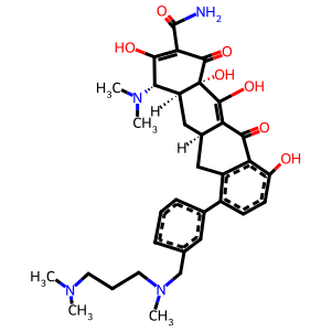 CN(C)CCCN(C)Cc1cccc(-c2ccc(O)c3c2C[C@H]2C[C@H]4[C@H](N(C)C)C(O)=C(C(N)=O)C(=O)[C@@]4(O)C(O)=C2C3=O)c1